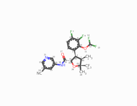 C[C@@H]1[C@H](c2ccc(F)c(F)c2OC(F)F)[C@@H](C(=O)Nc2cncc(C#N)c2)O[C@]1(C)C(F)(F)F